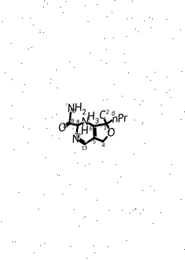 CCCC1(C)OCC2=C1NC(C(N)=O)N=C2